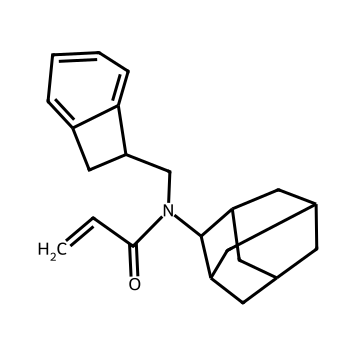 C=CC(=O)N(CC1Cc2ccccc21)C1C2CC3CC(C2)CC1C3